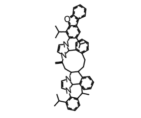 C=C1CC2C(CCc3ccccc3C3N1C=CN3c1c(C(C)C)cc3c(oc4ccccc43)c1C(C)C)c1ccccc1C1N(c3c(C(C)C)cccc3C(C)C)C=CN21